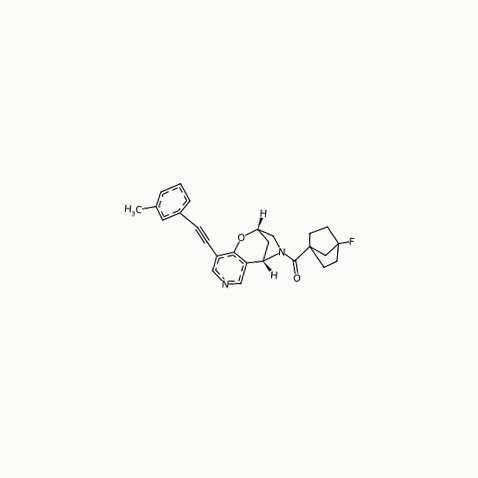 Cc1cccc(C#Cc2cncc3c2O[C@H]2C[C@@H]3N(C(=O)C34CCC(F)(CC3)C4)C2)c1